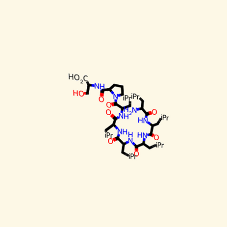 CC(C)CC(N)C(=O)NC(CC(C)C)C(=O)NC(CC(C)C)C(=O)NC(CC(C)C)C(=O)NC(CC(C)C)C(=O)NC(CC(C)C)C(=O)N1CCCC1C(=O)NC(CO)C(=O)O